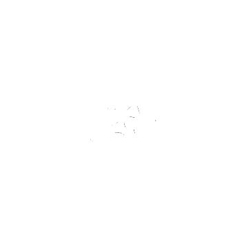 COc1ccccc1-c1cnc(OCCN2CCOCC2)nc1C(=O)OCCN1CCOCC1